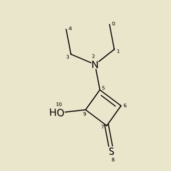 CCN(CC)C1=CC(=S)C1O